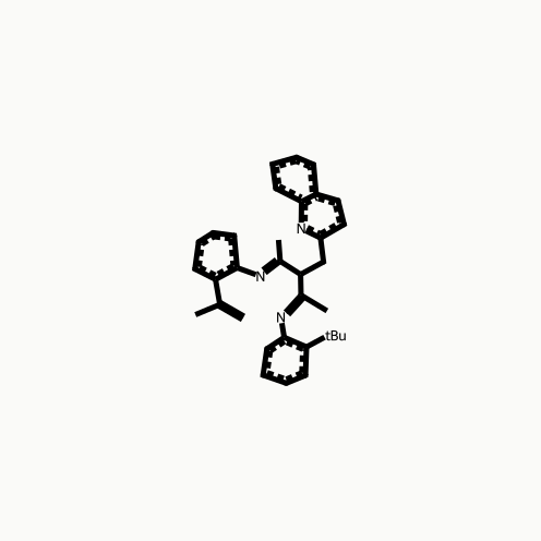 C=C(C)c1ccccc1/N=C(\C)C(Cc1ccc2ccccc2n1)/C(C)=N/c1ccccc1C(C)(C)C